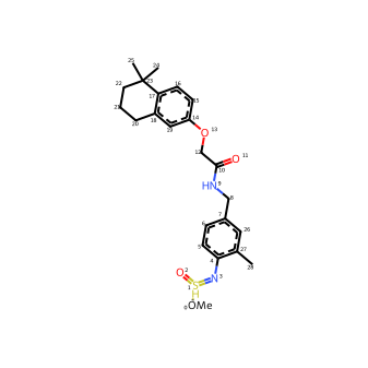 CO[SH](=O)=Nc1ccc(CNC(=O)COc2ccc3c(c2)CCCC3(C)C)cc1C